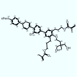 C=C(C)C(=O)OCCCc1cc(-c2ccc(C3=CCC(c4ccc(CCCCC)cc4)C=C3)c(CC)c2)cc(CCCOC(=O)C(=C)C)c1OCCC(C)(CO)CO